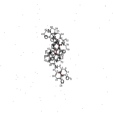 COc1ccc(CN(Cc2ccc(OC)cc2)c2cc(C)c(C(F)(F)F)c(-c3c(Cl)c4c5c(nc(OCC67CCCN6CCOC7)nc5c3F)N([C@H](C)c3cccnc3N(Cc3ccc(OC)cc3)Cc3ccc(OC)cc3)CCO4)n2)cc1